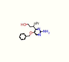 CCCC(CCO)c1nc(N)ncc1OCc1ccccc1